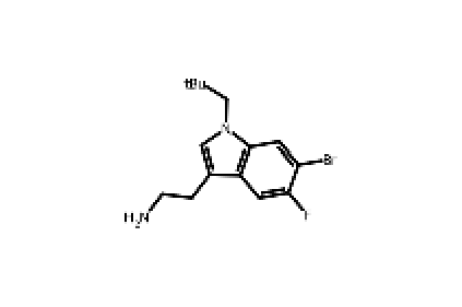 CC(C)(C)Cn1cc(CCN)c2cc(F)c(Br)cc21